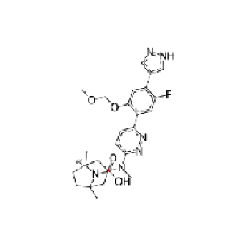 COCOc1cc(-c2cn[nH]c2)c(F)cc1-c1ccc(N(C)C2CC3(C)CC[C@](C)(C2)N3C(=O)O)nn1